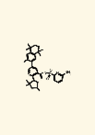 Cc1cc2c(cc1-c1cnc(C3CC(C)CC3(C)C)c(C(=O)NS(=O)(=O)c3cccc(N)n3)c1)C(C)(C)CCC2(C)C